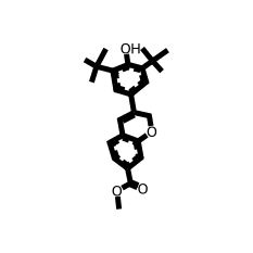 COC(=O)c1ccc2c(c1)OCC(c1cc(C(C)(C)C)c(O)c(C(C)(C)C)c1)=C2